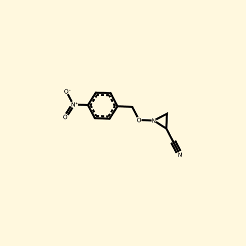 N#CC1CN1OCc1ccc([N+](=O)[O-])cc1